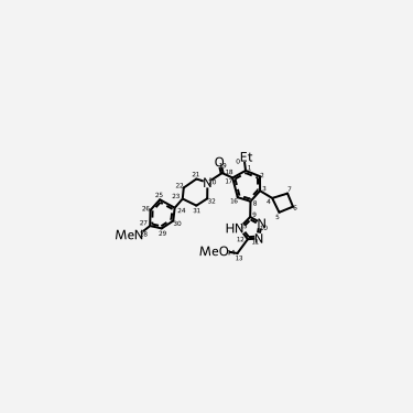 CCc1cc(C2CCC2)c(-c2nnc(COC)[nH]2)cc1C(=O)N1CCC(c2ccc(NC)cc2)CC1